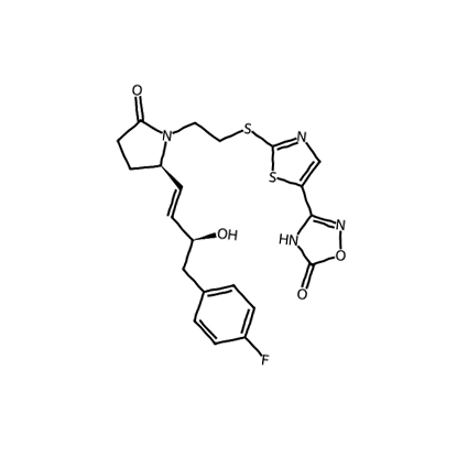 O=C1CC[C@H](/C=C/[C@@H](O)Cc2ccc(F)cc2)N1CCSc1ncc(-c2noc(=O)[nH]2)s1